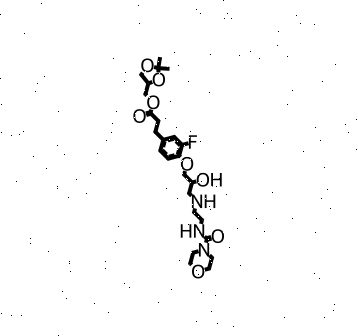 CC1(C)OCC(COC(=O)CCc2ccc(OCC(O)CNCCNC(=O)N3CCOCC3)c(F)c2)O1